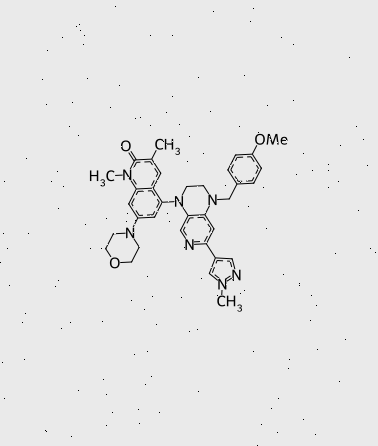 COc1ccc(CN2CCN(c3cc(N4CCOCC4)cc4c3cc(C)c(=O)n4C)c3cnc(-c4cnn(C)c4)cc32)cc1